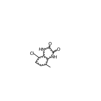 Cc1ccc(Cl)c2[nH]c(=O)c(=O)[nH]c12